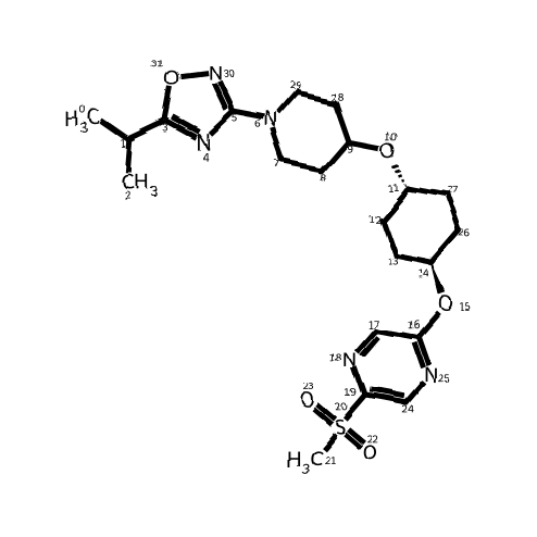 CC(C)c1nc(N2CCC(O[C@H]3CC[C@H](Oc4cnc(S(C)(=O)=O)cn4)CC3)CC2)no1